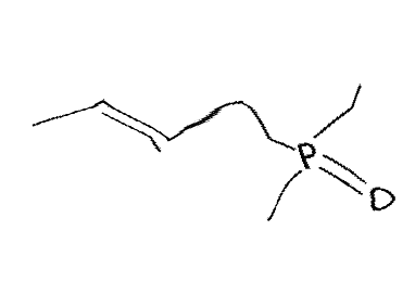 CC=CCP(C)(C)=O